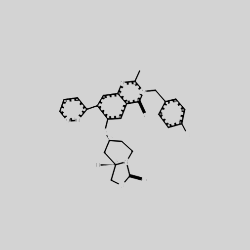 Cc1nc2cc(-c3cccnn3)c(O[C@H]3CCN4C(=O)OC[C@@H]4C3)cc2c(=O)n1Cc1ccc(Cl)cc1